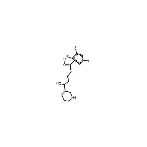 CCOC(CCCC(O)[C@@H]1CCCNC1)c1cc(F)cc(F)c1F